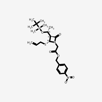 C=CCS[C@@H]1[C@@H]([C@@H](C)O[Si](C)(C)C(C)(C)C)C(=O)N1CC(=O)OCc1ccc([N+](=O)[O-])cc1